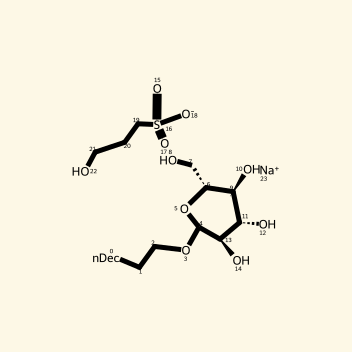 CCCCCCCCCCCCOC1O[C@H](CO)[C@@H](O)[C@H](O)[C@H]1O.O=S(=O)([O-])CCCO.[Na+]